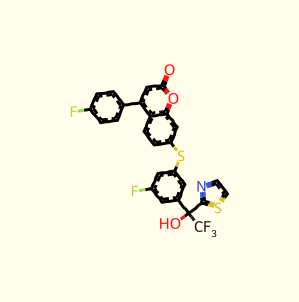 O=c1cc(-c2ccc(F)cc2)c2ccc(Sc3cc(F)cc(C(O)(c4nccs4)C(F)(F)F)c3)cc2o1